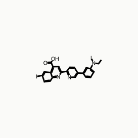 CCN(I)c1cccc(-c2ccc(-c3cc(C(=O)O)c4cc(I)ccc4n3)nc2)c1